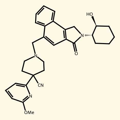 COc1cccc(C2(C#N)CCN(Cc3cc4c(c5ccccc35)CN([C@H]3CCCC[C@@H]3O)C4=O)CC2)n1